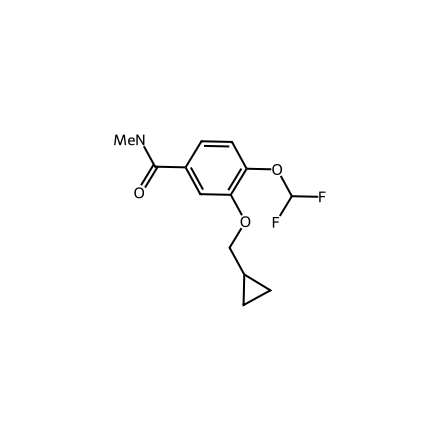 CNC(=O)c1ccc(OC(F)F)c(OCC2CC2)c1